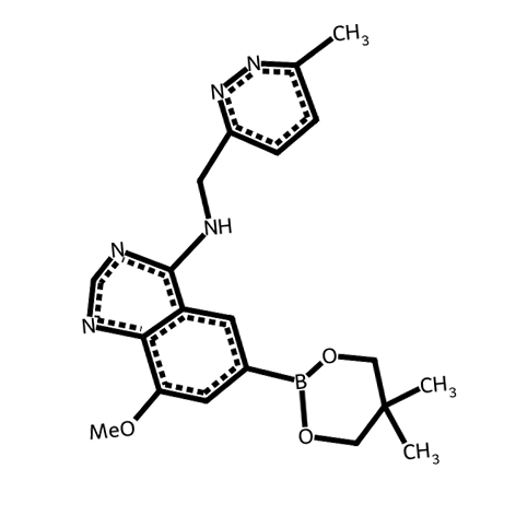 COc1cc(B2OCC(C)(C)CO2)cc2c(NCc3ccc(C)nn3)ncnc12